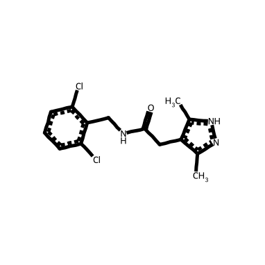 Cc1n[nH]c(C)c1CC(=O)NCc1c(Cl)cccc1Cl